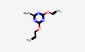 C=CCOc1nc(OC)nc(OC=C)n1